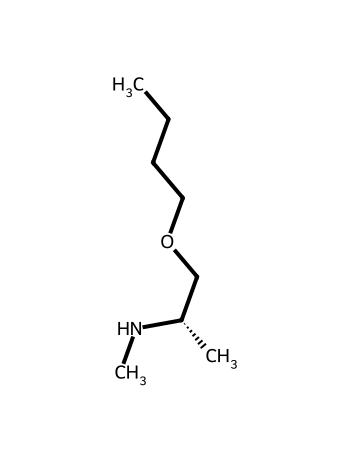 CCCCOC[C@H](C)NC